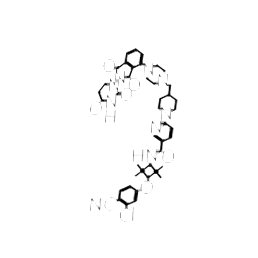 CC1(C)C(NC(=O)c2ccc(N3CCC(CN4CCN(c5cccc6c5C(=O)N(N5CCC(=O)NC5=O)C6=O)CC4)CC3)nc2)C(C)(C)C1Oc1ccc(C#N)c(Cl)c1